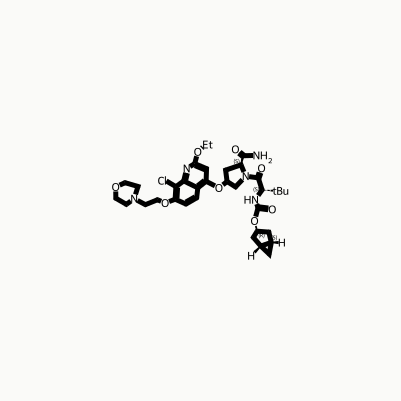 CCOc1cc(OC2C[C@@H](C(N)=O)N(C(=O)[C@@H](NC(=O)O[C@@H]3C[C@@H]4C[C@@H]4C3)C(C)(C)C)C2)c2ccc(OCCN3CCOCC3)c(Cl)c2n1